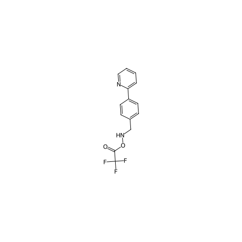 O=C(ONCc1ccc(-c2ccccn2)cc1)C(F)(F)F